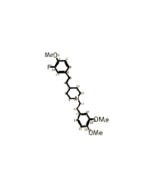 COc1ccc(CCC2CCN(CCc3ccc(OC)c(OC)c3)CC2)cc1F